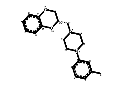 Cc1cccc(N2CCN(C[C@H]3COc4ccccc4O3)CC2)c1